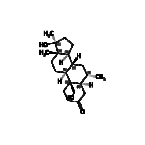 C[C@H]1C[C@@H]2[C@H](CC[C@@]3(C)[C@H]2CC[C@]3(C)O)[C@@]2(CO)CCC(=O)C[C@H]12